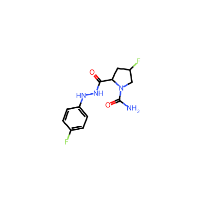 NC(=O)N1CC(F)CC1C(=O)NNc1ccc(F)cc1